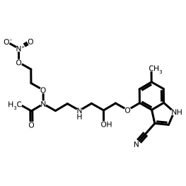 CC(=O)N(CCNCC(O)COc1cc(C)cc2[nH]cc(C#N)c12)OCCO[N+](=O)[O-]